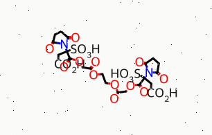 O=C(O)CC(C(=O)OCC(=O)OCCOC(=O)COC(=O)C(CC(=O)O)(N1C(=O)CCC1=O)S(=O)(=O)O)(N1C(=O)CCC1=O)S(=O)(=O)O